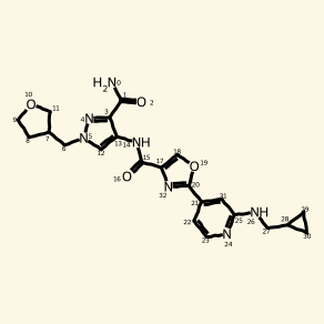 NC(=O)c1nn(CC2CCOC2)cc1NC(=O)c1coc(-c2ccnc(NCC3CC3)c2)n1